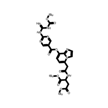 CC(C)(C)OC(=O)CC(NC(=O)Cc1ccc(OC(=O)c2cnc(NC(=N)NC(=O)OC(C)(C)C)nc2)c2nccn12)C(=O)OC(C)(C)C